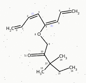 C=C/C=C\C(=C/C=C)OCC(=O)C(C)(C)CC